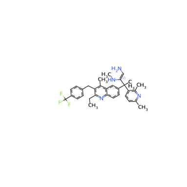 CCc1nc2ccc(C(C)(/C(=C/N)NC)c3ccc(C)nc3C)cc2c(C)c1Cc1ccc(C(F)(F)F)cc1